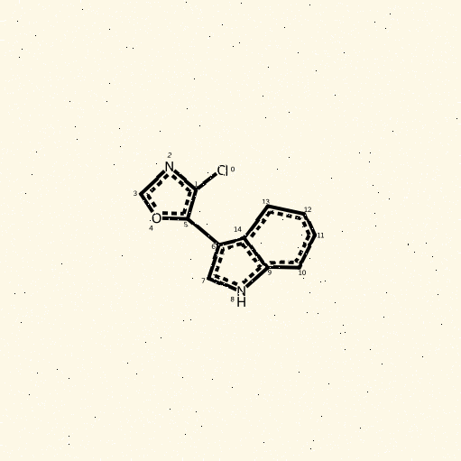 Clc1ncoc1-c1c[nH]c2ccccc12